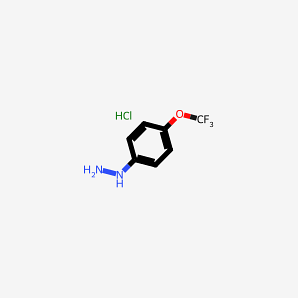 Cl.NNc1ccc(OC(F)(F)F)cc1